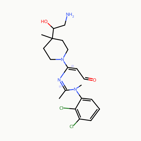 C/C(=N/C(=C\C=O)N1CCC(C)(C(O)CN)CC1)N(C)c1cccc(Cl)c1Cl